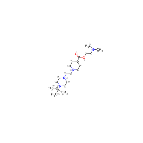 CN(C)CCOC(=O)C1CCN(CCN2CCN(C(C)(C)C)CC2)CC1